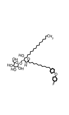 CCCCCCCCCCCCCCC[C@@H](O)[C@H](CO[C@H]1OC(CO)[C@H](O)[C@H](O)C1O)NC(=O)CCCCCCCCCCc1ccc(Oc2ccc(F)cc2)cc1